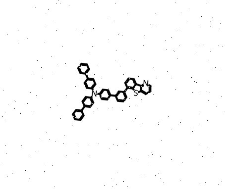 c1ccc(-c2ccc(N(c3ccc(-c4ccccc4)cc3)c3ccc(-c4cccc(-c5cccc6c5sc5cccnc56)c4)cc3)cc2)cc1